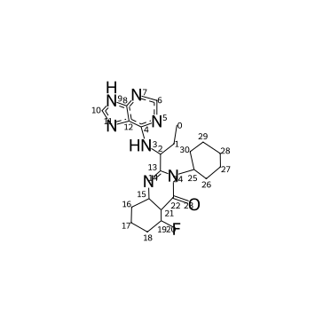 CCC(Nc1ncnc2[nH]cnc12)C1=NC2CCCC(F)C2C(=O)N1C1CCCCC1